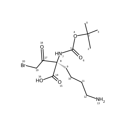 CC(C)(C)OC(=O)N[C@@](CCCCN)(C(=O)O)C(=O)CBr